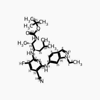 CCn1ncc2ccc(Nc3nc(N[C@H](CC(C)C)[C@H](C)NC(=O)OC(C)(C)C)c(F)cc3C#N)cc21